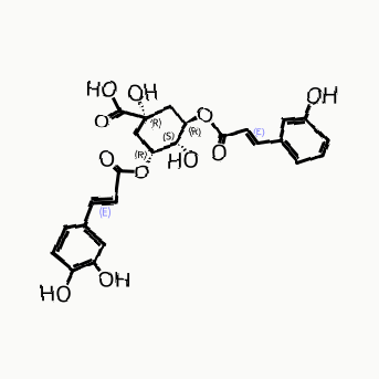 O=C(/C=C/c1cccc(O)c1)O[C@@H]1C[C@](O)(C(=O)O)C[C@@H](OC(=O)/C=C/c2ccc(O)c(O)c2)[C@H]1O